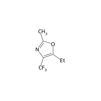 CCc1oc(C)nc1C(F)(F)F